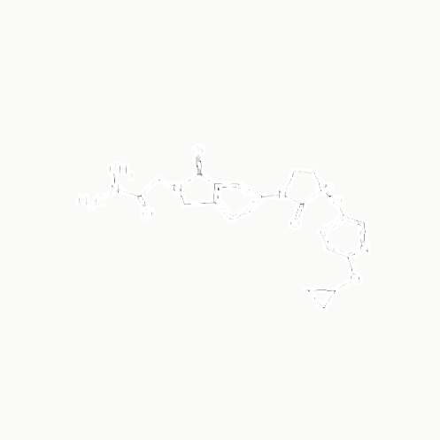 CN(C)C(=O)CN1Cc2ccc(N3CC[C@@H](Oc4ccc(OC5CC5)nc4)C3=O)cc2C1=O